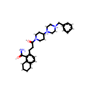 NC(=O)c1c(C[CH]C(=O)N2CCC(N3CCN(Cc4ccccc4)CC3)CC2)ccc2c1CCCC2